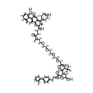 Cc1ncsc1-c1ccc(CCNC(=O)C2CC(O)CN2C(=O)[C@@H](NC(=O)COCCOCCOCCOCCN(C)C(=O)CCNc2nc(N3CCNCC3)c3cc(Cl)c(-c4c(O)cccc4F)c(F)c3n2)C(C)(C)C)cc1